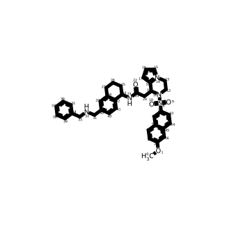 COc1ccc2cc(S(=O)(=O)N3CCn4cccc4C3CC(=O)NC3CCCc4cc(CNCc5ccccc5)ccc43)ccc2c1